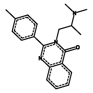 Cc1ccc(-c2nc3ccccc3c(=O)n2CC(C)N(C)C)cc1